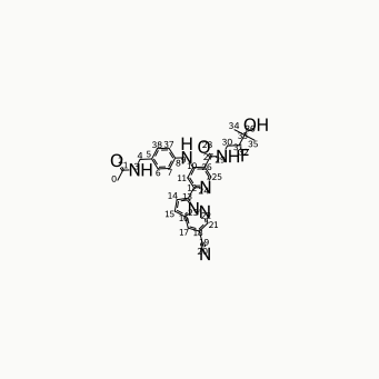 CC(=O)NCc1ccc(Nc2cc(-c3ccc4cc(C#N)cnn34)ncc2C(=O)NC[C@@H](F)C(C)(C)O)cc1